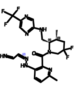 Cc1ccc(N/N=C\C=N)c(C(=O)N2CC(F)(F)C[C@@H](C)[C@H]2CNc2cnc(C(F)(F)F)cn2)n1